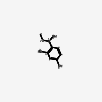 COB(O)c1ccc(O)cc1O